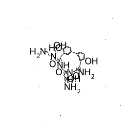 NCCN(CCO)C(=O)[C@@H]1Cc2cc(ccc2O)-c2ccc(O)c(c2)C[C@H](N)C(=O)N[C@@H](C[C@@H](O)CN)C(=O)N1